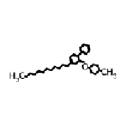 CCCCCCCCCCCCC1=CC=C(c2ccccc2)C(=COC2CCC(C)CC2)C1